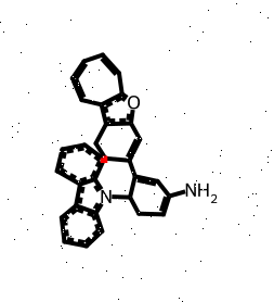 NC1=CCC(n2c3ccccc3c3ccccc32)C(C2=Cc3oc4c(c3CC2)C=C=CC=C4)=C1